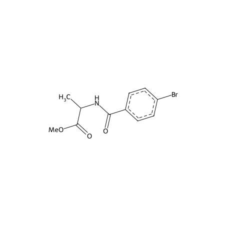 COC(=O)C(C)NC(=O)c1ccc(Br)cc1